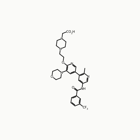 Cc1ncc(NC(=O)c2cccc(C(F)(F)F)c2)cc1-c1cnc(OCCN2CCN(CC(=O)O)CC2)c(N2CCOCC2)c1